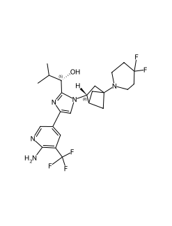 CC(C)[C@H](O)c1nc(-c2cnc(N)c(C(F)(F)F)c2)cn1[C@@H]1CC2(N3CCC(F)(F)CC3)CC1C2